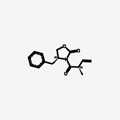 C=C[C@H](C)C(=O)N1C(=O)OC[C@H]1Cc1ccccc1